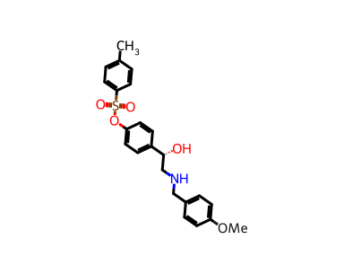 COc1ccc(CNC[C@@H](O)c2ccc(OS(=O)(=O)c3ccc(C)cc3)cc2)cc1